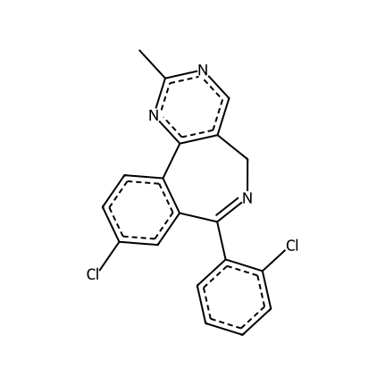 Cc1ncc2c(n1)-c1ccc(Cl)cc1C(c1ccccc1Cl)=NC2